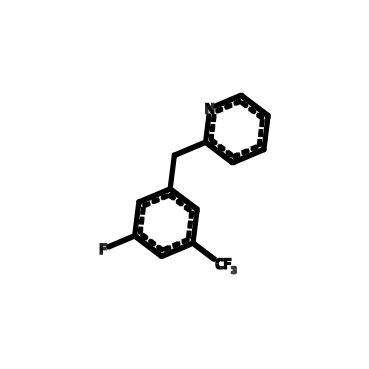 Fc1cc(Cc2ccccn2)cc(C(F)(F)F)c1